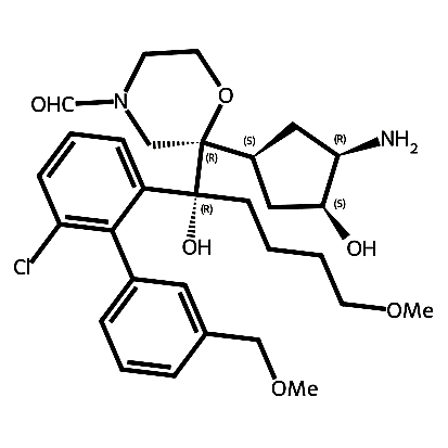 COCCCC[C@@](O)(c1cccc(Cl)c1-c1cccc(COC)c1)[C@@]1([C@H]2C[C@@H](N)[C@@H](O)C2)CN(C=O)CCO1